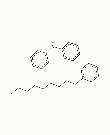 CCCCCCCCCc1ccccc1.c1ccc(Nc2ccccc2)cc1